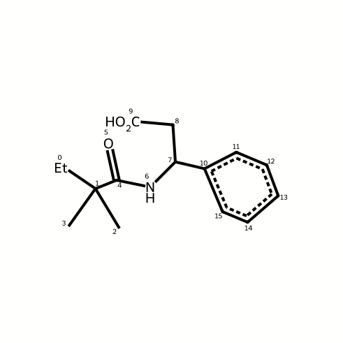 CCC(C)(C)C(=O)NC(CC(=O)O)c1ccccc1